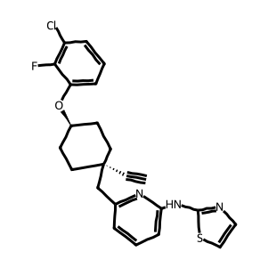 C#C[C@]1(Cc2cccc(Nc3nccs3)n2)CC[C@@H](Oc2cccc(Cl)c2F)CC1